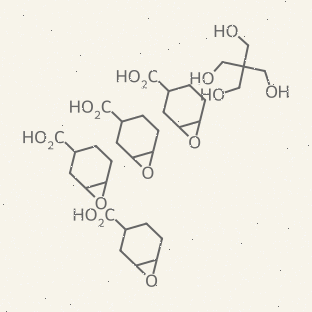 O=C(O)C1CCC2OC2C1.O=C(O)C1CCC2OC2C1.O=C(O)C1CCC2OC2C1.O=C(O)C1CCC2OC2C1.OCC(CO)(CO)CO